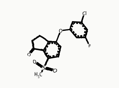 CS(=O)(=O)c1ccc(Oc2cc(F)cc(Cl)c2)c2c1C(=O)CC2